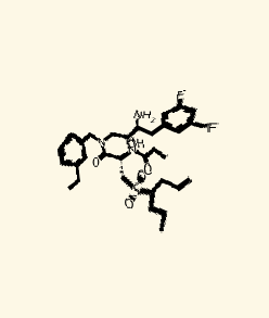 CCCC(CCC)S(=O)(=O)C[C@@H](NC(=O)CC)C(=O)N(Cc1cccc(CC)c1)C[C@@H](O)[C@@H](N)Cc1cc(F)cc(F)c1